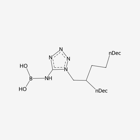 CCCCCCCCCCCCC(CCCCCCCCCC)Cn1nnnc1NB(O)O